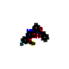 O=C(NC1(C(=O)NC2CCN(c3ccc(F)cc3OC=S)CC2O)CCCCC1)c1cc2ccccc2o1